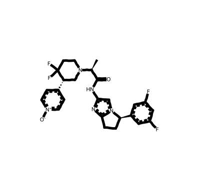 C[C@@H](C(=O)Nc1cn2c(n1)CC[C@@H]2c1cc(F)cc(F)c1)N1CCC(F)(F)[C@@H](c2cc[n+]([O-])cc2)C1